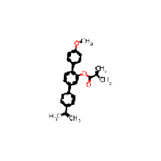 C=C(C)C(=O)Oc1cc(-c2ccc(C(=C)C)cc2)ccc1-c1ccc(OC)cc1